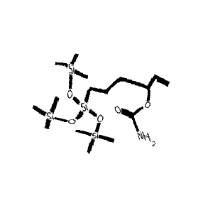 C=CC(CCC[Si](O[Si](C)(C)C)(O[Si](C)(C)C)O[Si](C)(C)C)OC(N)=O